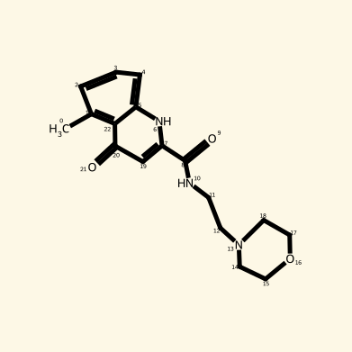 Cc1cccc2[nH]c(C(=O)NCCN3CCOCC3)cc(=O)c12